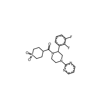 O=C(C1CCS(=O)(=O)CC1)N1CCN(c2ncccn2)CC1c1cccc(F)c1F